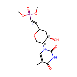 COP(=O)(/C=C/C1C[C@@H](O)[C@H](n2cc(C)c(=O)[nH]c2=O)CO1)OC